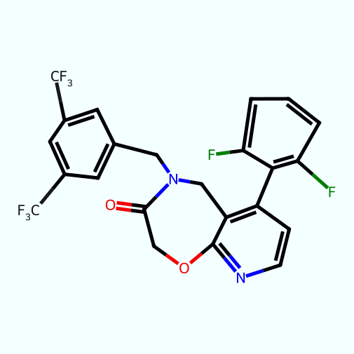 O=C1COc2nccc(-c3c(F)cccc3F)c2CN1Cc1cc(C(F)(F)F)cc(C(F)(F)F)c1